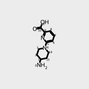 NC1CCN(c2cccc(C(=O)O)n2)CC1